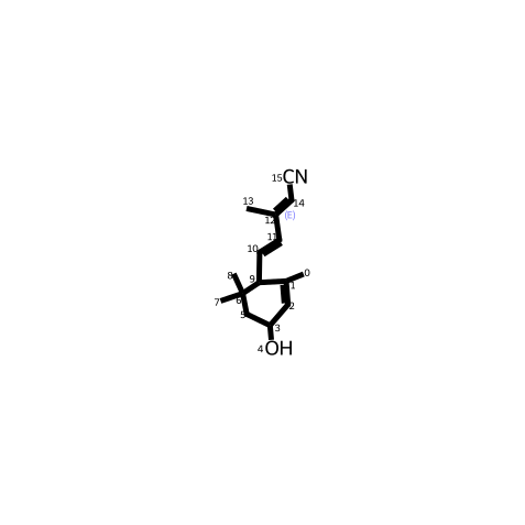 CC1=CC(O)CC(C)(C)C1C=C/C(C)=C/C#N